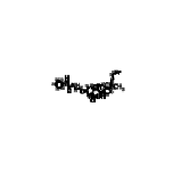 CC(C)CCC[C@@H](C)[C@H]1CC[C@H]2C3=C(CC[C@]12C)[C@@]1(C)CC[C@H](OCCNC(=O)Nc2ccccc2)C[C@@H]1C(=O)O3